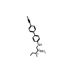 CC#Cc1ccc(-c2ccc(NC[C@@H](N)[C@@H](C)CC)cc2)cc1